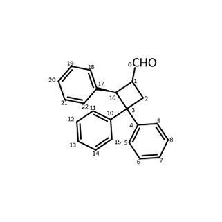 O=CC1CC(c2ccccc2)(c2ccccc2)[C@H]1c1ccccc1